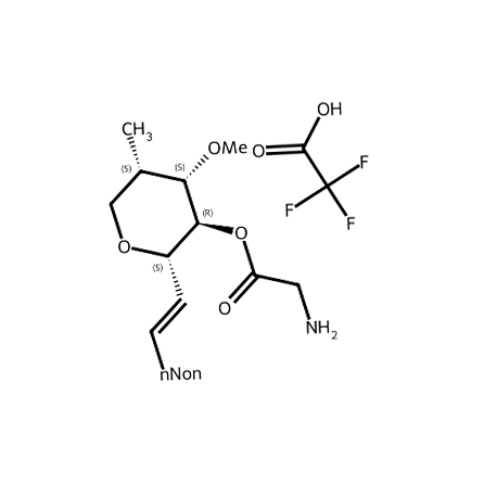 CCCCCCCCCC=C[C@@H]1OC[C@H](C)[C@H](OC)[C@H]1OC(=O)CN.O=C(O)C(F)(F)F